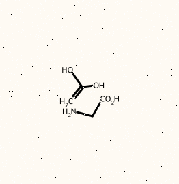 C=C(O)O.NCC(=O)O